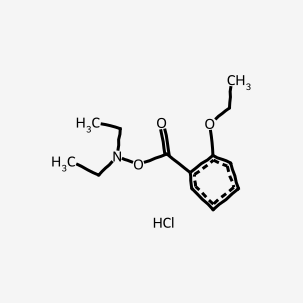 CCOc1ccccc1C(=O)ON(CC)CC.Cl